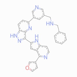 c1ccc(CNCc2cncc(-c3ccc4[nH]nc(-c5cc6c(-c7ccoc7)nccc6[nH]5)c4n3)c2)cc1